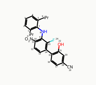 CC(C)c1cccc(C(C)C)c1Nc1c([N+](=O)[O-])ccc(-c2ccc(C#N)cc2O)c1F